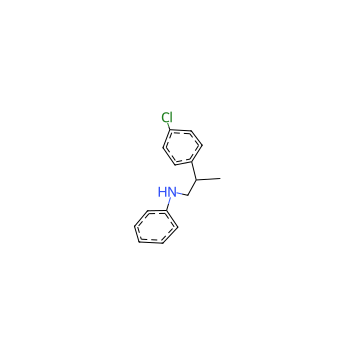 CC(CNc1ccccc1)c1ccc(Cl)cc1